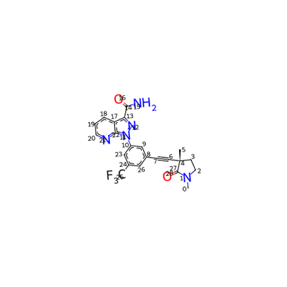 CN1CC[C@@](C)(C#Cc2cc(-n3nc(C(N)=O)c4cccnc43)cc(C(F)(F)F)c2)C1=O